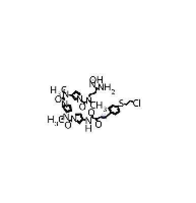 CN(CCC(N)=NO)C(=O)n1ccc(N(C)C(=O)n2ccc(N(C)C(=O)n3ccc(NC(=O)C(=O)/C=C/c4ccc(SCCCl)cc4)c3)c2)c1